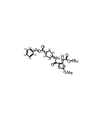 CSc1nc(NC(=O)OC(C)(C)C)c(C(=O)NC2CCN(C(=O)OCc3ccccc3)CC2)s1